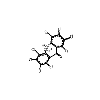 O=C(O)c1c(Cl)c(Cl)c(Cl)c(Cl)c1C(=O)c1c(Cl)c(Cl)c(Cl)c(Cl)c1C(=O)O